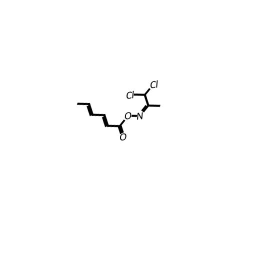 CC=CC=CC(=O)ON=C(C)C(Cl)Cl